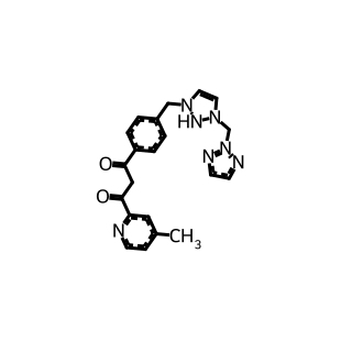 Cc1ccnc(C(=O)CC(=O)c2ccc(CN3C=CN(Cn4nccn4)N3)cc2)c1